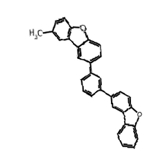 Cc1ccc2oc3ccc(-c4cccc(-c5ccc6oc7ccccc7c6c5)c4)cc3c2c1